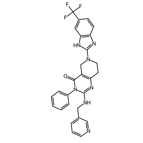 O=c1c2c(nc(NCc3cccnc3)n1-c1ccccc1)CCN(c1nc3ccc(C(F)(F)F)cc3[nH]1)C2